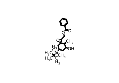 C=C1C(O)CC([Si](C)(C)C(C)(C)C)CC12OC2COC(=O)c1ccccc1